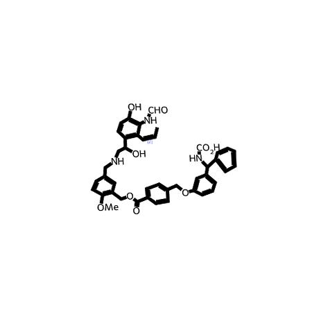 C/C=C\c1c(C(O)CNCc2ccc(OC)c(COC(=O)c3ccc(COc4cccc(C(NC(=O)O)c5ccccc5)c4)cc3)c2)ccc(O)c1NC=O